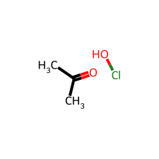 CC(C)=O.OCl